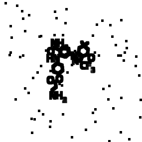 CC1(C)CC(=O)c2c(C(F)(F)F)nn(-c3ccc(C(N)=O)c(N[C@H]4CC[C@H](OC(=O)CCN)CC4)c3)c2C1